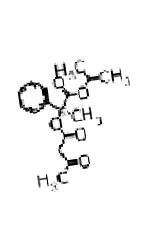 CC(=O)CC(=O)O[C@](C)(C(=O)OC(C)C)c1ccccc1